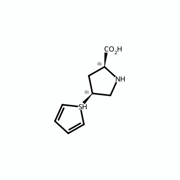 O=C(O)[C@@H]1C[C@H]([SH]2C=CC=C2)CN1